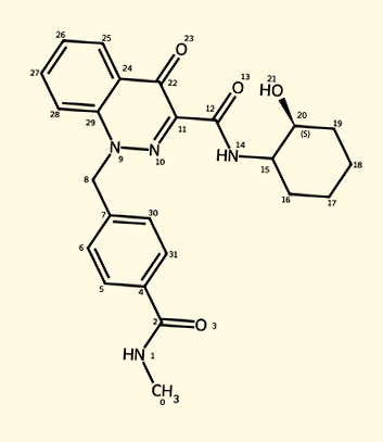 CNC(=O)c1ccc(Cn2nc(C(=O)NC3CCCC[C@@H]3O)c(=O)c3ccccc32)cc1